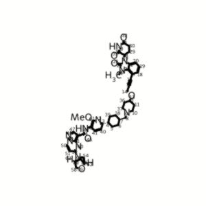 COc1nc([C@H]2CC[C@H](CN3CCC(OCC#Cc4cccc5c4n(C)c(=O)n5C4CCC(=O)NC4=O)CC3)CC2)ccc1NC(=O)c1cnn2ccc(N3C[C@H]4C[C@@H]3CO4)nc12